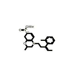 C/C=C(/CCN1CC(C)OC2=C1C=C[C@@H]([N+](=O)OC)C2)c1ccccc1C